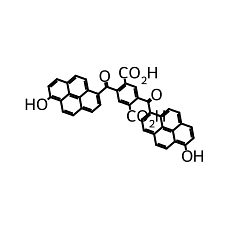 O=C(O)c1cc(C(=O)c2ccc3ccc4c(O)ccc5ccc2c3c54)c(C(=O)O)cc1C(=O)c1ccc2ccc3c(O)ccc4ccc1c2c43